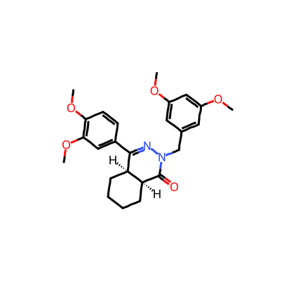 COc1cc(CN2N=C(c3ccc(OC)c(OC)c3)[C@@H]3CCCC[C@@H]3C2=O)cc(OC)c1